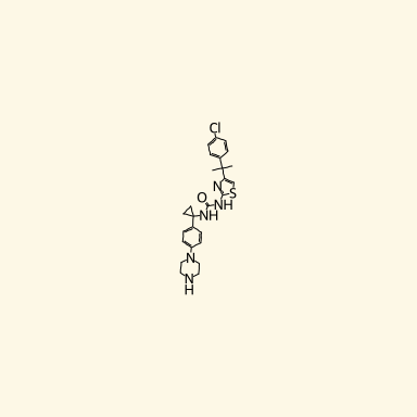 CC(C)(c1ccc(Cl)cc1)c1csc(NC(=O)NC2(c3ccc(N4CCNCC4)cc3)CC2)n1